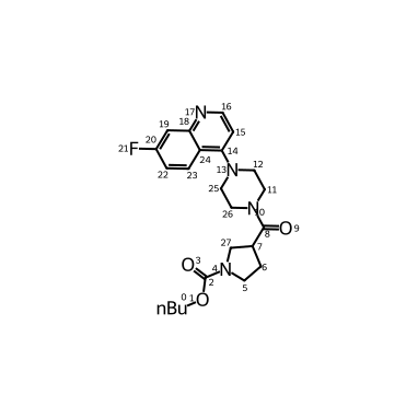 CCCCOC(=O)N1CCC(C(=O)N2CCN(c3ccnc4cc(F)ccc34)CC2)C1